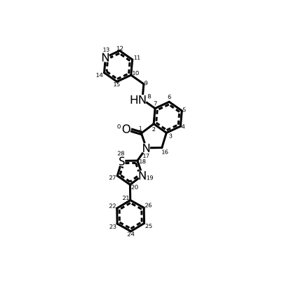 O=C1c2c(cccc2NCc2ccncc2)CN1c1nc(-c2ccccc2)cs1